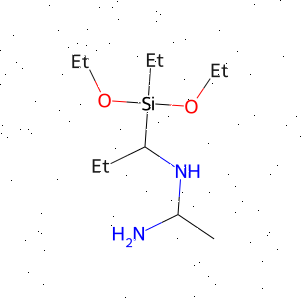 CCO[Si](CC)(OCC)C(CC)NC(C)N